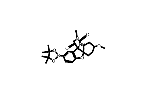 COC1CCC2(CC1)Oc1ccc(B3OC(C)(C)C(C)(C)O3)cc1C21NC(=O)N(C)CC1=O